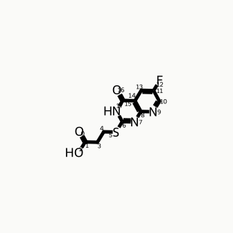 O=C(O)CCSc1nc2ncc(F)cc2c(=O)[nH]1